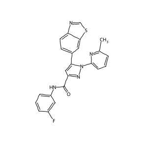 Cc1cccc(-n2nc(C(=O)Nc3cccc(F)c3)cc2-c2ccc3ncsc3c2)n1